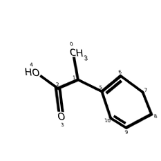 CC(C(=O)O)C1=CCCC=C1